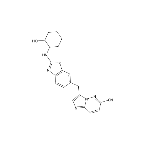 N#Cc1ccc2ncc(Cc3ccc4nc(NC5CCCCC5O)sc4c3)n2n1